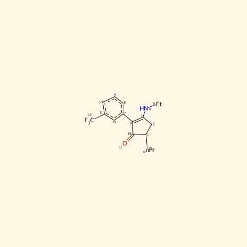 CCCC1CC(NCC)=C(c2cccc(C(F)(F)F)c2)C1=O